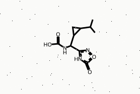 CC(C)C1CC1C(NC(=O)O)c1noc(=O)[nH]1